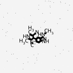 [C-]#[N+]C1=C(C)NC(C)=C(C#N)C1c1ccc2[nH]nc(NCC)c2c1